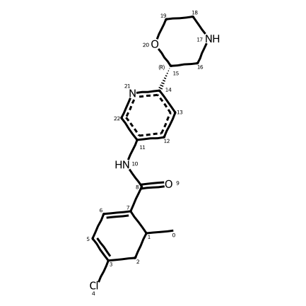 CC1CC(Cl)=CC=C1C(=O)Nc1ccc([C@H]2CNCCO2)nc1